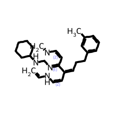 C=CN/C=C\C(=CCCc1cccc(C)c1)C(/C=C\N=C)=N/CNC1CCCCC1